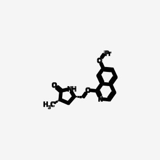 CC(C)Oc1ccc2ccnc(OC[C@@H]3C[C@H](C)C(=O)N3)c2c1